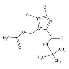 CC(=O)OCn1c(C(=O)NC(C)(C)C)nc(Cl)c1Cl